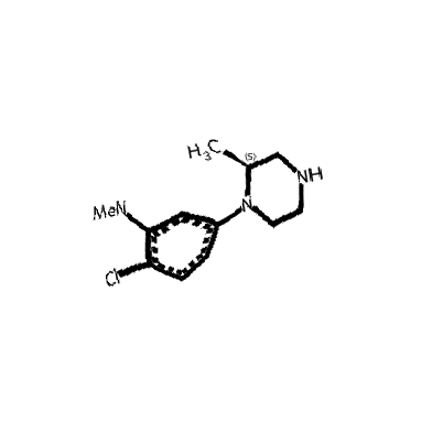 CNc1cc(N2CCNC[C@@H]2C)ccc1Cl